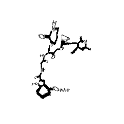 COc1cccc2[nH]c(C(=O)NCC(=O)NC(C[C@@H]3CCCNC3=O)C(=O)COC(=O)c3c(C)cc(C)nc3C)cc12